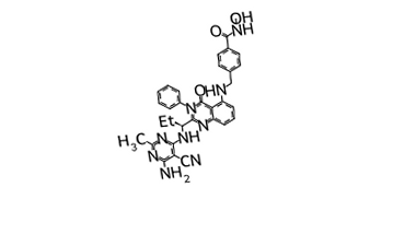 CC[C@H](Nc1nc(C)nc(N)c1C#N)c1nc2cccc(NCc3ccc(C(=O)NO)cc3)c2c(=O)n1-c1ccccc1